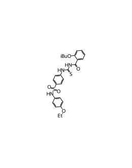 CCOc1ccc(NS(=O)(=O)c2ccc(NC(=S)NC(=O)c3ccccc3OCC(C)C)cc2)cc1